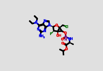 CCN(CC)c1nc(N)nc2c1ncn2[C@@H]1O[C@]2(CCl)C(O[PH](=O)N[C@@H](C)C(=O)OC(C)C)[C@]2(O)[C@@H]1F